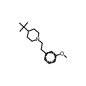 COc1cccc(CCN2CCC(C(C)(C)C)CC2)c1